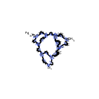 Cc1nc2nc(n1)c1cccc(n1)c1nc3nc(n1)c1cccc(n1)c1nc(nc(n1)c1cccc2n1)-c1cccc(n1)-c1nc2nc(n1)c1cccc(n1)c1nc(nc(n1)c1cccc(n1)c1nc(C)nc(n1)c1cccc2n1)-c1cccc(n1)-c1nc2nc(n1)c1cccc(n1)c1nc(nc(n1)c1cccc(n1)c1nc(C)nc(n1)c1cccc2n1)-c1cccc-3n1